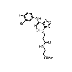 COCCNC(=O)CCSc1nonc1C(=NO)Nc1ccc(F)c(Br)c1